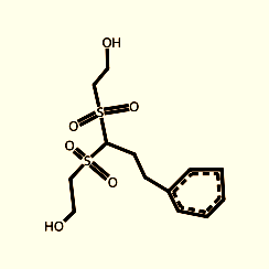 O=S(=O)(CCO)C(CCc1ccccc1)S(=O)(=O)CCO